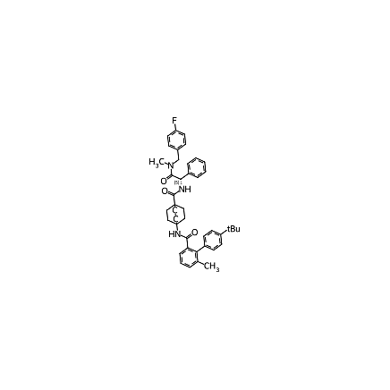 Cc1cccc(C(=O)NC23CCC(C(=O)N[C@H](C(=O)N(C)Cc4ccc(F)cc4)c4ccccc4)(CC2)CC3)c1-c1ccc(C(C)(C)C)cc1